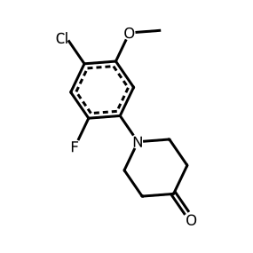 COc1cc(N2CCC(=O)CC2)c(F)cc1Cl